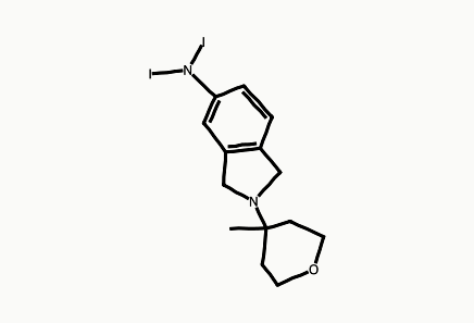 CC1(N2Cc3ccc(N(I)I)cc3C2)CCOCC1